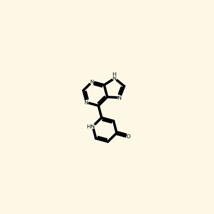 O=c1cc[nH]c(-c2ncnc3[nH]cnc23)c1